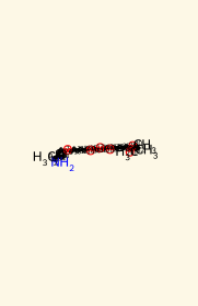 C[C@@H](N)c1ccc(OCCCCCCOCCOCCOCCCCCC(=O)OC(C)(C)C)cc1